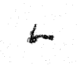 CCCCOCCOCC(=O)OCN1C(=O)CCc2ccc(OCCCCN3CCN(c4cccc5sccc45)CC3)cc21